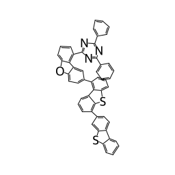 c1ccc(-c2nc(-c3ccccc3)nc(-c3cccc4oc5ccc(-c6cccc7sc8c(-c9ccc%10c(c9)sc9ccccc9%10)cccc8c67)cc5c34)n2)cc1